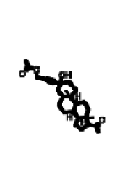 CC(=O)OCC#CC1(O)CC[C@@]2(C)C(CC[C@H]3[C@@H]4CC[C@H](C(C)=O)[C@@]4(C)CC[C@@H]32)C1